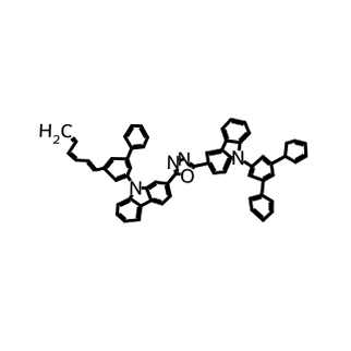 C=C/C=C\C=C\c1cc(-c2ccccc2)cc(-n2c3ccccc3c3ccc(-c4nnc(-c5ccc6c(c5)c5ccccc5n6-c5cc(-c6ccccc6)cc(C6C=CC=CC6)c5)o4)cc32)c1